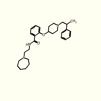 CC(CN1CCC(Oc2ccccc2C(=O)NCCN2CCCCCC2)CC1)c1ccccc1